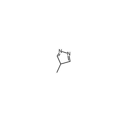 CC1C=NN=C1